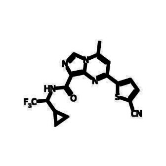 Cc1cc(-c2ccc(C#N)s2)nc2c(C(=O)NC(C3CC3)C(F)(F)F)ncn12